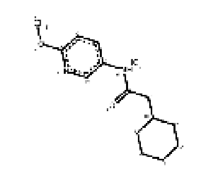 COc1ccc(NC(=O)CC2CCCCC2)cn1.Cl